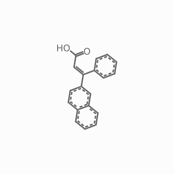 O=C(O)/C=C(\c1ccccc1)c1ccc2ccccc2c1